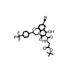 CC(C)(C)OC(=O)CNC(=O)c1c(O)c2cc(C#N)cc3c2n(c1=O)CC(c1ccc(C(F)(F)F)cc1)O3